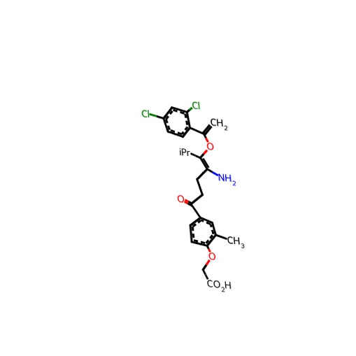 C=C(O/C(=C(\N)CCC(=O)c1ccc(OCC(=O)O)c(C)c1)C(C)C)c1ccc(Cl)cc1Cl